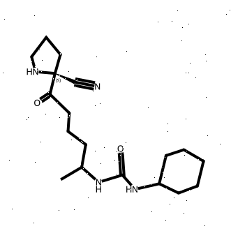 CC(CCCC(=O)[C@@]1(C#N)CCCN1)NC(=O)NC1CCCCC1